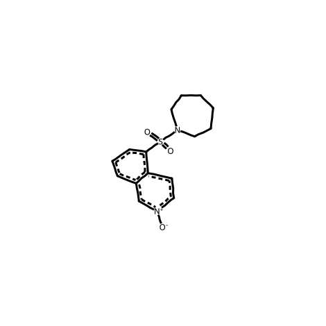 O=S(=O)(c1cccc2c[n+]([O-])ccc12)N1CCCCCC1